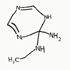 CNC1(N)N=CN=CN1